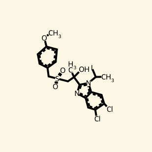 COc1ccc(CS(=O)(=O)CC(C)(O)c2nc3cc(Cl)c(Cl)cc3n2C(C)I)cc1